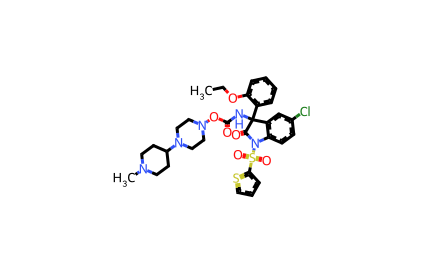 CCOc1ccccc1C1(NC(=O)ON2CCN(C3CCN(C)CC3)CC2)C(=O)N(S(=O)(=O)c2cccs2)c2ccc(Cl)cc21